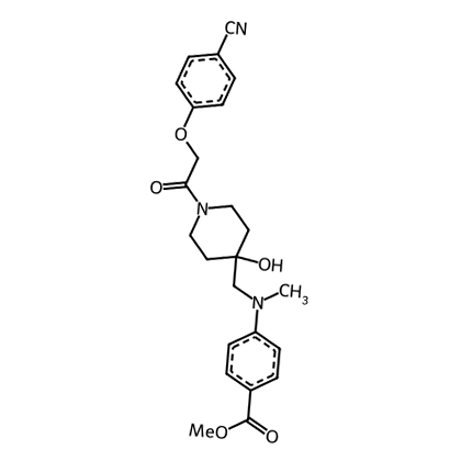 COC(=O)c1ccc(N(C)CC2(O)CCN(C(=O)COc3ccc(C#N)cc3)CC2)cc1